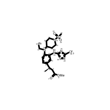 COC(=O)C[C@@H](C)c1ccc(N(CC(C)C)C2CCN(S(C)(=O)=O)CC2)c(Nc2nc(C(F)(F)F)ns2)c1